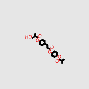 C=C(C)C(=O)Oc1ccc(OC(=O)/C=C/c2ccc(OC(=O)C(=C)CO)cc2)cc1